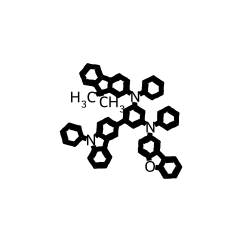 CC1(C)c2ccccc2-c2ccc(N(C3=CC=CCC3)c3cc(-c4ccc5c(c4)c4ccccc4n5C4C=CC=CC4)cc(N(c4ccccc4)c4ccc5oc6ccccc6c5c4)c3)cc21